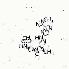 COC(=O)N[C@@H]1CC[C@@H](n2c(=O)n(C)c3cnc(Nc4ccc5ncc(-c6cncn6C)n5n4)cc32)C1